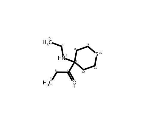 CCNC1(C(=O)CC)CCSCC1